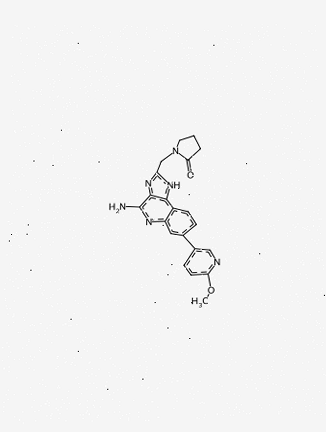 COc1ccc(-c2ccc3c(c2)nc(N)c2nc(CN4CCCC4=O)[nH]c23)cn1